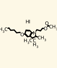 CCCCCCOc1ccc2c(c1)C(C)(C)C(C)N2CCCOC(C)=O.I